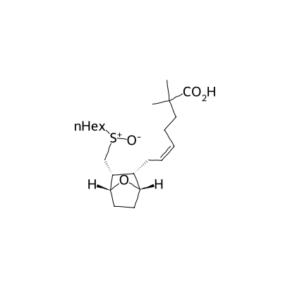 CCCCCC[S+]([O-])C[C@@H]1[C@H](C/C=C\CCC(C)(C)C(=O)O)[C@@H]2CC[C@H]1O2